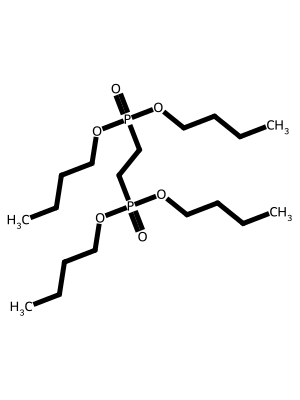 CCCCOP(=O)(CCP(=O)(OCCCC)OCCCC)OCCCC